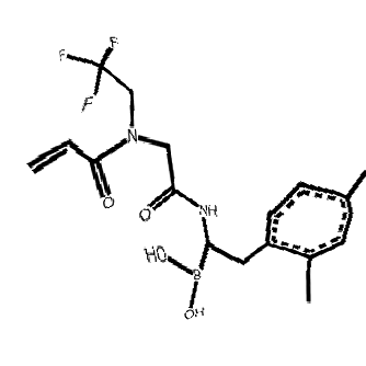 C=CC(=O)N(CC(=O)NC(Cc1ccc(C)cc1C)B(O)O)CC(F)(F)F